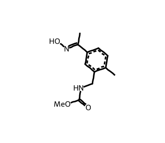 COC(=O)NCc1cc(C(C)=NO)ccc1C